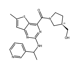 Cc1cc2nc(NC(C)c3cccnc3)nc(C(=O)N3CC[C@@H](CO)C3)c2s1